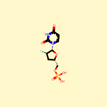 O=c1ccn([C@@H]2O[C@H](COP(=O)(O)O)C[C@H]2F)c(=O)[nH]1